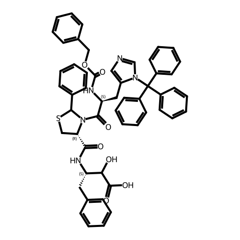 O=C(N[C@@H](Cc1cncn1C(c1ccccc1)(c1ccccc1)c1ccccc1)C(=O)N1C(c2ccccc2)SC[C@H]1C(=O)N[C@@H](Cc1ccccc1)C(O)C(=O)O)OCc1ccccc1